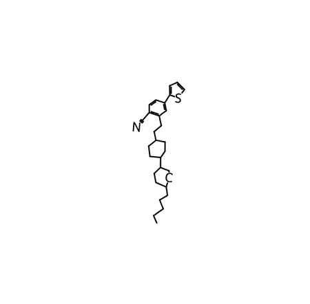 CCCCCC1CCC(C2CCC(CCc3cc(-c4cccs4)ccc3C#N)CC2)CC1